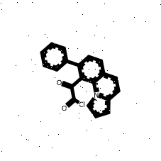 O=C(Cl)C(=O)c1c(-c2ccccc2)ccc2ccc3cccn3c12